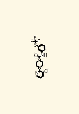 O=C(Nc1cccc(SC(F)(F)F)c1)N1CCN(c2ncccc2Cl)CC1